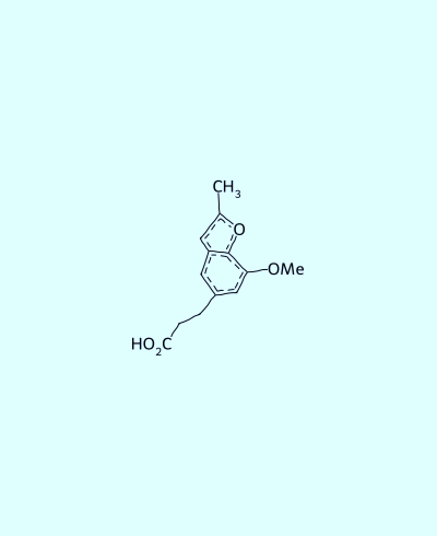 COc1cc(CCC(=O)O)cc2cc(C)oc12